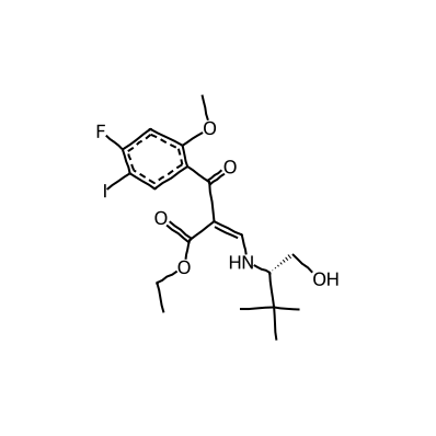 CCOC(=O)/C(=C\N[C@H](CO)C(C)(C)C)C(=O)c1cc(I)c(F)cc1OC